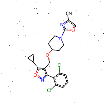 N#Cc1coc(N2CCC(OCc3c(-c4c(Cl)cccc4Cl)noc3C3CC3)CC2)n1